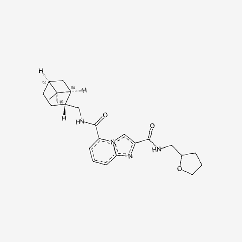 CC1(C)[C@H]2CC[C@@H](CNC(=O)c3cccc4nc(C(=O)NCC5CCCO5)cn34)[C@@H]1C2